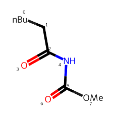 CCCCCC(=O)NC(=O)OC